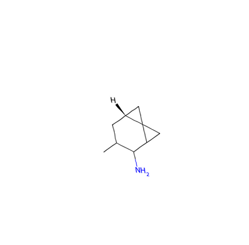 CC1C[C@@H]2CC23CC3C1N